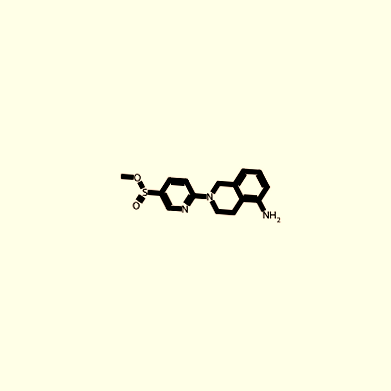 COS(=O)c1ccc(N2CCc3c(N)cccc3C2)nc1